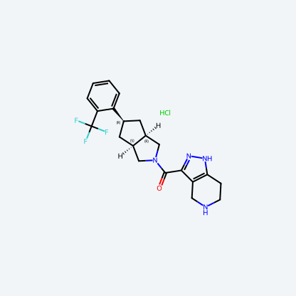 Cl.O=C(c1n[nH]c2c1CNCC2)N1C[C@H]2C[C@@H](c3ccccc3C(F)(F)F)C[C@H]2C1